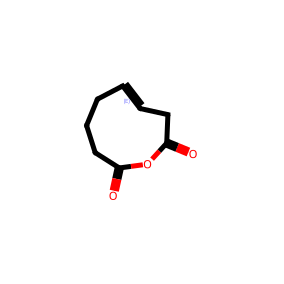 O=C1C/C=C/CCCC(=O)O1